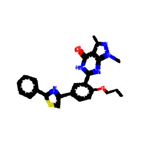 CCCOc1ccc(-c2csc(-c3ccccc3)n2)cc1-c1nc2c(c(C)nn2C)c(=O)[nH]1